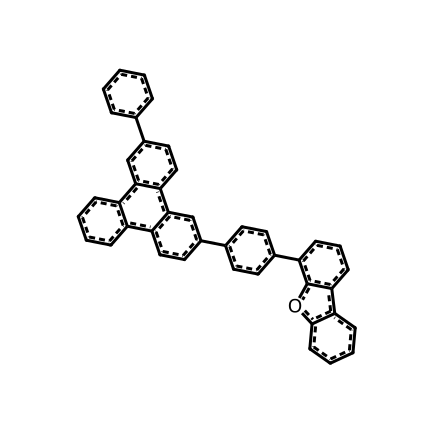 c1ccc(-c2ccc3c(c2)c2ccccc2c2ccc(-c4ccc(-c5cccc6c5oc5ccccc56)cc4)cc23)cc1